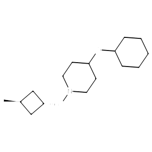 C[C@H]1C[C@H](ON2CCC(OC3CCCCC3)CC2)C1